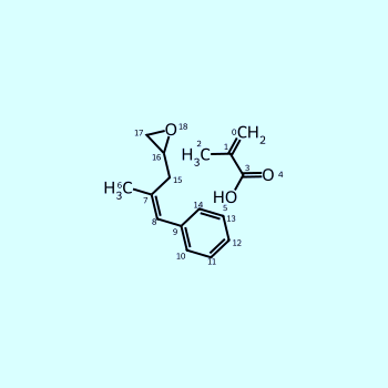 C=C(C)C(=O)O.CC(=Cc1ccccc1)CC1CO1